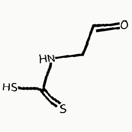 O=CCNC(=S)S